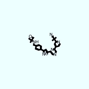 CC1(NCc2ccc(-c3cc(-c4cncc(-c5ccnc(C(C)(C)C#N)c5)n4)on3)cc2)COC1